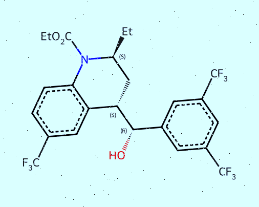 CCOC(=O)N1c2ccc(C(F)(F)F)cc2[C@@H]([C@@H](O)c2cc(C(F)(F)F)cc(C(F)(F)F)c2)C[C@@H]1CC